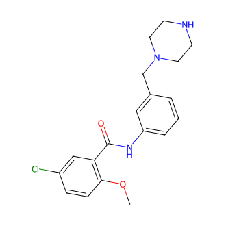 COc1ccc(Cl)cc1C(=O)Nc1cccc(CN2CCNCC2)c1